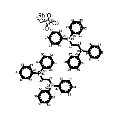 [O-][Cl+3]([O-])([O-])[O-].[Rh+].c1ccc(P(CCP(c2ccccc2)c2ccccc2)c2ccccc2)cc1.c1ccc(P(CCP(c2ccccc2)c2ccccc2)c2ccccc2)cc1